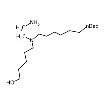 CCCCCCCCCCCCCCCCN(C)CCCCCO.CN